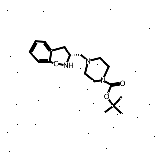 CC(C)(C)OC(=O)N1CCN(C[C@H]2Cc3ccccc3CN2)CC1